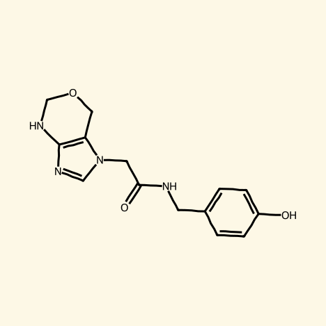 O=C(Cn1cnc2c1COCN2)NCc1ccc(O)cc1